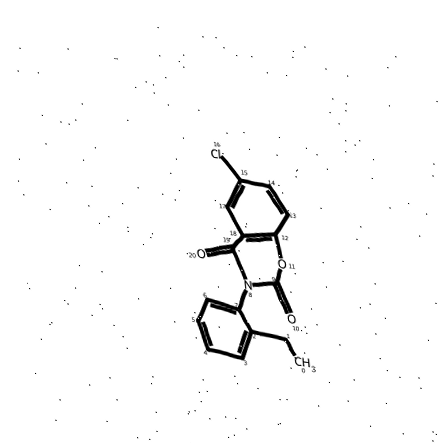 CCc1ccccc1-n1c(=O)oc2ccc(Cl)cc2c1=O